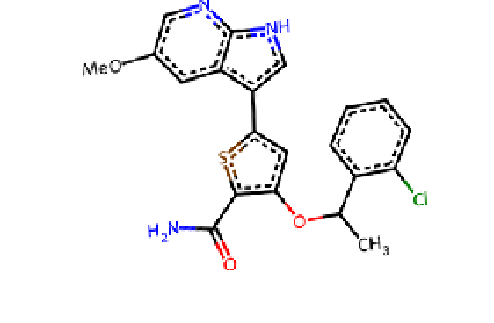 COc1cnc2[nH]cc(-c3cc(OC(C)c4ccccc4Cl)c(C(N)=O)s3)c2c1